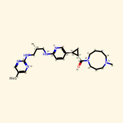 CSc1cnc(NC[C@H](C)CNc2ccc([C@H]3C[C@@H]3C(=O)N3CCCCN(C)CCC3)cn2)nc1